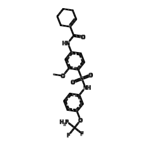 COc1cc(NC(=O)C2=CCCCC2)ccc1S(=O)(=O)Nc1cccc(OC(F)(F)P)c1